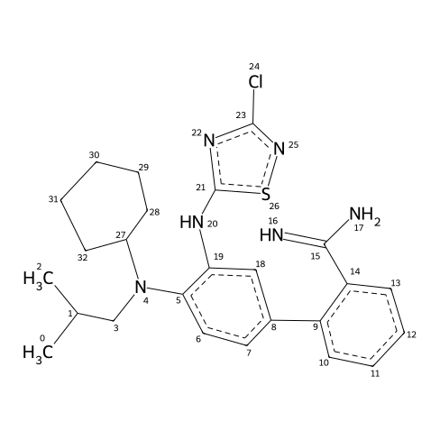 CC(C)CN(c1ccc(-c2ccccc2C(=N)N)cc1Nc1nc(Cl)ns1)C1CCCCC1